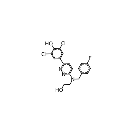 OCCN(Cc1ccc(F)cc1)c1ccc(-c2cc(Cl)c(O)c(Cl)c2)nn1